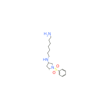 NCCCCCCCNC1C[CH]N(S(=O)(=O)c2ccccc2)C1